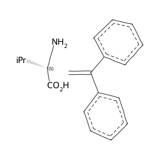 C=C(c1ccccc1)c1ccccc1.CC(C)[C@H](N)C(=O)O